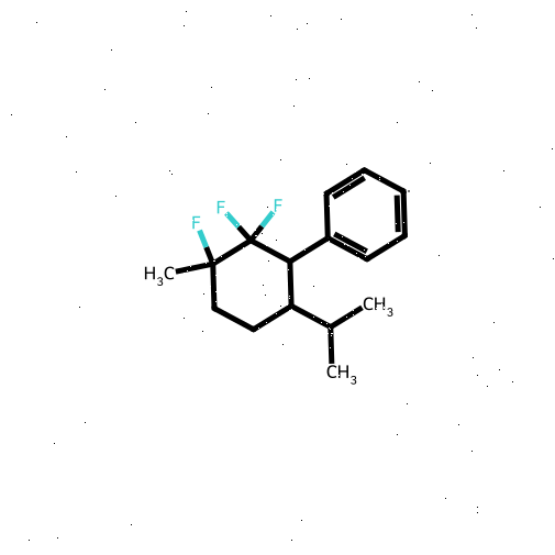 CC(C)C1CCC(C)(F)C(F)(F)C1c1cc[c]cc1